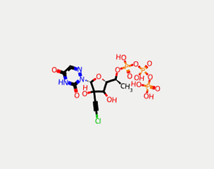 C[C@H](OP(=O)(O)OP(=O)(O)OP(=O)(O)O)[C@H]1O[C@@H](n2ncc(=O)[nH]c2=O)C(O)(C#CCl)C1O